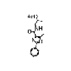 CC(=O)OC(C)CNC(=O)c1nc(-c2ccccc2)oc1C